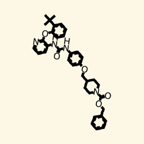 CC(C)(C)c1ccccc1Oc1ncccc1NC(=O)Nc1ccc(OCC2CCN(C(=O)OCc3ccccc3)CC2)cc1